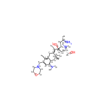 CC1=C2Cc3c(C)c(CN4CCOCC4)cc(N(C)C)c3C[C@H]2C[C@@H]([C@@H](CO)N(C)C)[C@@]1(O)CCC(C)N